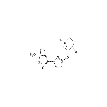 CC(C)(C)OC(=O)n1ccc(OC2C[C@H]3CC[C@@H]2C3)n1